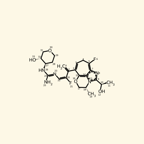 C=C(C1=CCC(F)=c2nc([C@@H](C)O)n3c2=C1OC[C@H]3C)/C(F)=C\N=C(/N)N[C@@H]1CCOC[C@H]1O